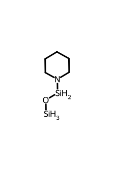 [SiH3]O[SiH2]N1CCCCC1